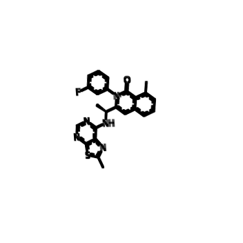 Cc1nc2c(N[C@@H](C)c3cc4cccc(C)c4c(=O)n3-c3cccc(F)c3)ncnc2s1